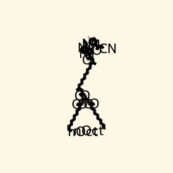 CCCCCCCC/C=C\CCCCCCCC(=O)OCC(COC(=O)CCCCCCC/C=C\CCCCCCCC)OC(=O)CC(C)CCCCCCCCCC(C)CC(=O)n1ccc2c(N(C)[C@H]3CN(C(=O)CC#N)CC[C@H]3C)ncnc21